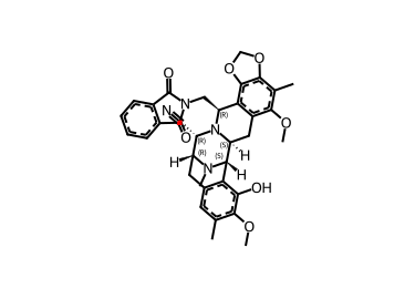 COc1c(C)cc2c(c1O)[C@H]1[C@@H]3Cc4c(OC)c(C)c5c(c4[C@H](CN4C(=O)c6ccccc6C4=O)N3[C@@H](C#N)[C@@H](C2)N1C)OCO5